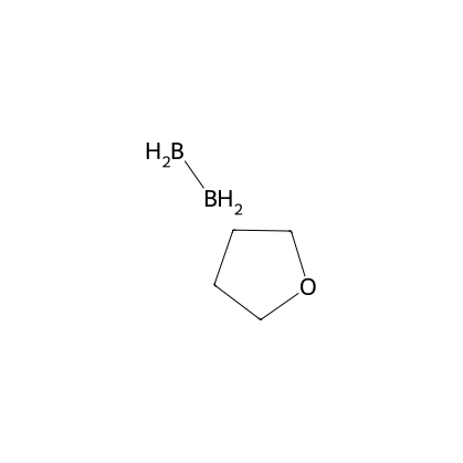 BB.C1CCOC1